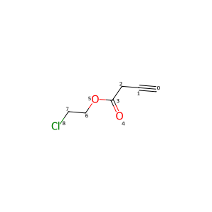 [C]#CCC(=O)OCCCl